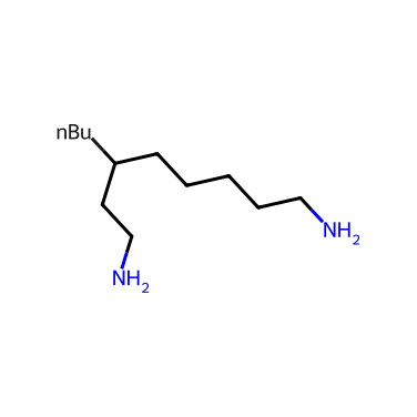 CCCCC(CCN)CCCCCN